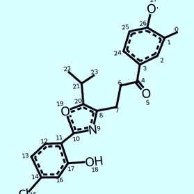 Cc1cc(C(=O)CCc2nc(-c3ccc(Cl)cc3O)oc2C(C)C)ccc1[O]